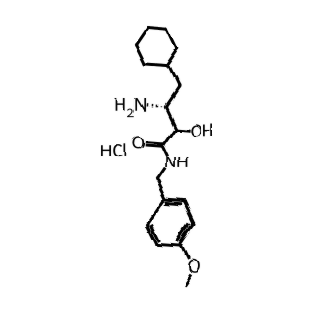 COc1ccc(CNC(=O)C(O)[C@H](N)CC2CCCCC2)cc1.Cl